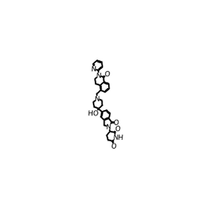 O=C1CCC(N2Cc3cc(C4(O)CCN(Cc5cccc6c5CCN(c5ccccn5)C6=O)CC4)ccc3C2=O)C(=O)N1